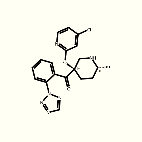 C[C@@H]1CC[C@](Oc2cc(Cl)ccn2)(C(=O)c2ccccc2-n2ncnn2)CN1